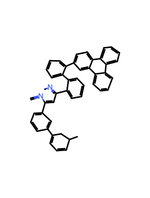 C=N/C(=C\C(=N/C)c1ccccc1-c1ccccc1-c1ccc2c3ccccc3c3ccccc3c2c1)c1cccc(C2=CC=CC(C)C2)c1